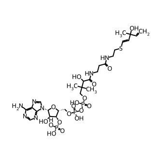 C=CC(C)(O)C=CSCCNC(=O)CCNC(=O)C(O)C(C)(C)COP(=O)(O)OP(=O)(O)OC[C@H]1O[C@@H](n2cnc3c(N)ncnc32)[C@H](O)[C@@H]1OP(=O)(O)O